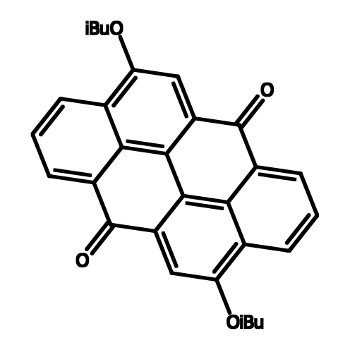 CC(C)COc1cc2c3c4c1cccc4c(=O)c1cc(OCC(C)C)c4cccc(c2=O)c4c1-3